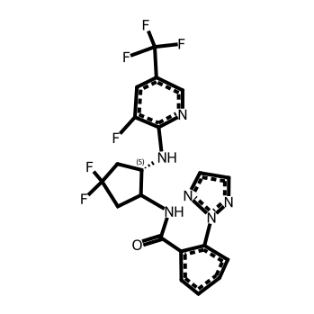 O=C(NC1CC(F)(F)C[C@@H]1Nc1ncc(C(F)(F)F)cc1F)c1ccccc1-n1nccn1